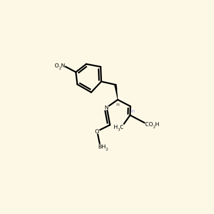 BOC=N[C@H](/C=C(\C)C(=O)O)Cc1ccc([N+](=O)[O-])cc1